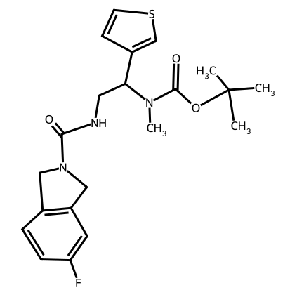 CN(C(=O)OC(C)(C)C)C(CNC(=O)N1Cc2ccc(F)cc2C1)c1ccsc1